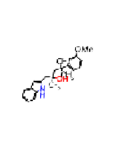 COc1cccc(C(C)(C)CC(O)(Cc2cc3ccccc3[nH]2)C(F)(F)F)c1